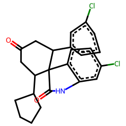 O=C1CC(c2cccc(Cl)c2)C2(C(=O)Nc3cc(Cl)ccc32)C(C2CCCC2)C1